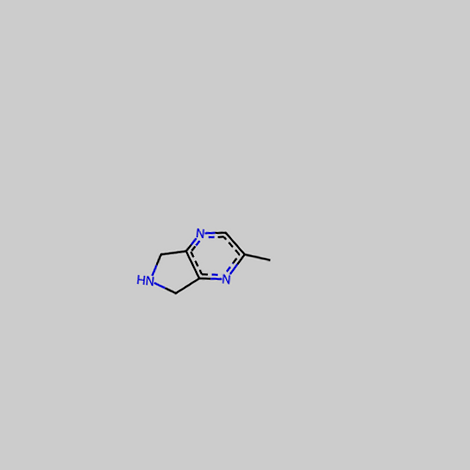 Cc1cnc2c(n1)CNC2